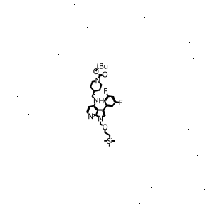 CC(C)(C)OC(=O)N1CCC(CNc2ccnc3c2c(-c2cc(F)cc(F)c2)cn3COCC[Si](C)(C)C)CC1